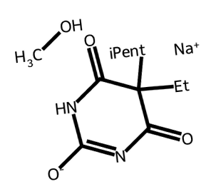 CCCC(C)C1(CC)C(=O)N=C([O-])NC1=O.CO.[Na+]